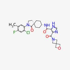 Cc1cc(N2CC[C@]3(CC[C@@H](NC(=O)c4[nH]cnc4C(=O)N4CC5(COC5)C4)CC3)C2=O)c(Cl)cc1F